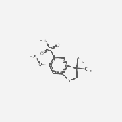 COc1cc2c(cc1S(N)(=O)=O)C(C)(C)CO2